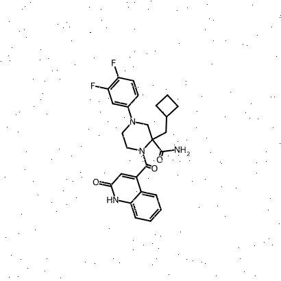 NC(=O)C1(CC2CCC2)CN(c2ccc(F)c(F)c2)CCN1C(=O)c1cc(=O)[nH]c2ccccc12